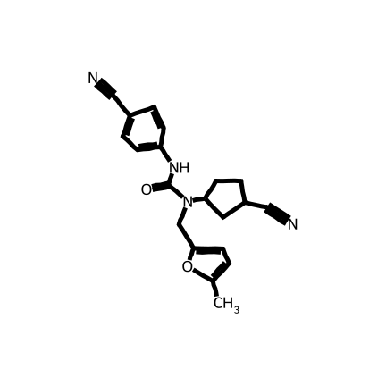 Cc1ccc(CN(C(=O)Nc2ccc(C#N)cc2)C2CCC(C#N)C2)o1